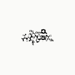 C=C(C)[C@@H](C(=O)N[C@H](C(=O)N(C)[C@@H]([C@@H](C)CC)[C@@H](CC(=O)N1CCC[C@H]1[C@H](OC)[C@@H](C)C(=O)N[C@@H](Cc1ccccc1)C(=O)OC(C)(C)C)OC)C(C)N=[N+]=[N-])N(C)C